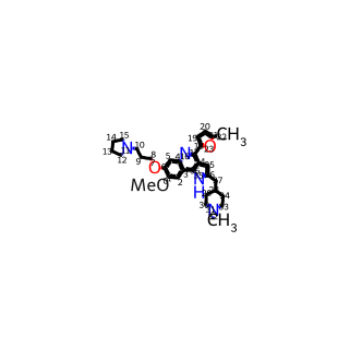 COc1cc2c(cc1OCCCN1CCCC1)nc(-c1ccc(C)o1)c1cc(CC3CCN(C)CC3)[nH]c12